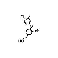 Cc1cc(Oc2ccc(CCO)cc2C#N)ccc1Cl